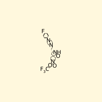 O=C(OCC(F)(F)F)N1CCC2(CC1)C[C@H](CCN1CCN(c3ccc(F)cc3)CC1)NC2=O